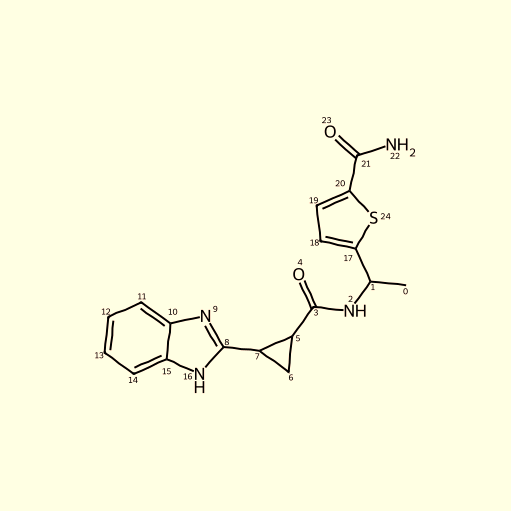 CC(NC(=O)C1CC1c1nc2ccccc2[nH]1)c1ccc(C(N)=O)s1